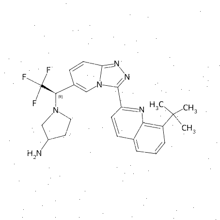 CC(C)(C)c1cccc2ccc(-c3nnc4ccc([C@@H](N5CCC(N)C5)C(F)(F)F)cn34)nc12